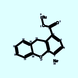 CCCCOC(=O)c1cccc2c1Cc1ccccc1O2.[Na]